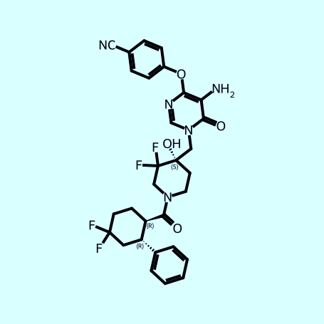 N#Cc1ccc(Oc2ncn(C[C@@]3(O)CCN(C(=O)[C@@H]4CCC(F)(F)C[C@H]4c4ccccc4)CC3(F)F)c(=O)c2N)cc1